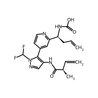 C=CC[C@H](NC(=O)O)c1cc(-c2c(NC(=O)[C@H](C)C=C)cnn2C(F)F)ccn1